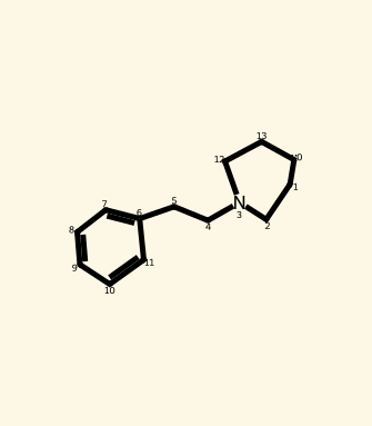 [C]1CCN(CCc2ccccc2)CC1